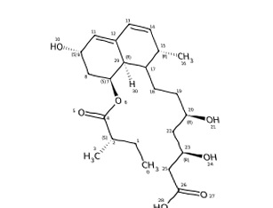 CC[C@H](C)C(=O)O[C@H]1C[C@H](O)C=C2C=C[C@H](C)C(CC[C@@H](O)C[C@@H](O)CC(=O)O)[C@H]21